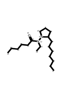 CCCCCCCC1CCCN1N(CC)C(=O)CCCCC